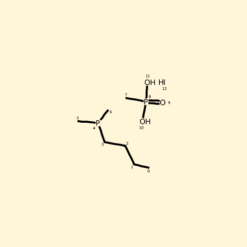 CCCCP(C)C.CP(=O)(O)O.I